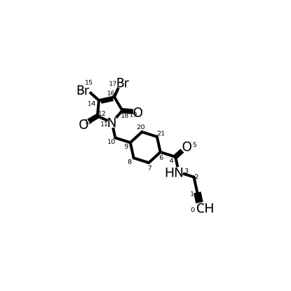 C#CCNC(=O)C1CCC(CN2C(=O)C(Br)=C(Br)C2=O)CC1